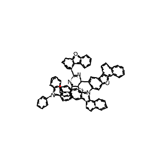 CCC1C(c2cccc3c2c2ccccc2n3-c2ccccc2)=NC(c2cccc3oc4ccccc4c23)=NC1c1cc2c(cc1-n1c3cc4ccccc4cc3c3ccc4ccccc4c31)oc1c3ccccc3ccc21